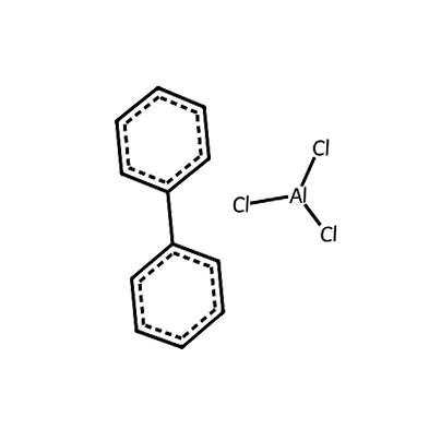 [Cl][Al]([Cl])[Cl].c1ccc(-c2ccccc2)cc1